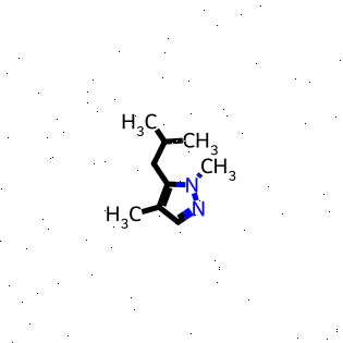 Cc1cnn(C)c1CC(C)C